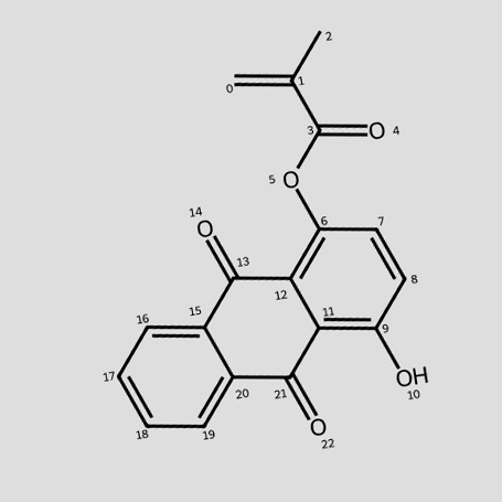 C=C(C)C(=O)Oc1ccc(O)c2c1C(=O)c1ccccc1C2=O